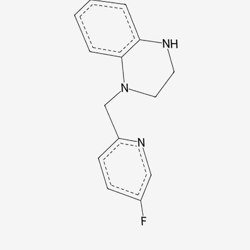 Fc1ccc(CN2CCNc3ccccc32)nc1